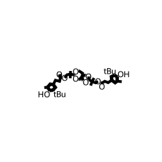 Cc1cc(CCC(=O)OCC(C)(C)C2OCCC3(CO2)COC(C(C)(C)COC(=O)CCc2cc(C)c(O)c(C(C)(C)C)c2)OC3)cc(C(C)(C)C)c1O